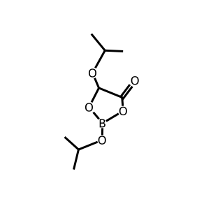 CC(C)OB1OC(=O)C(OC(C)C)O1